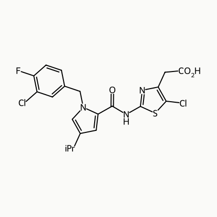 CC(C)c1cc(C(=O)Nc2nc(CC(=O)O)c(Cl)s2)n(Cc2ccc(F)c(Cl)c2)c1